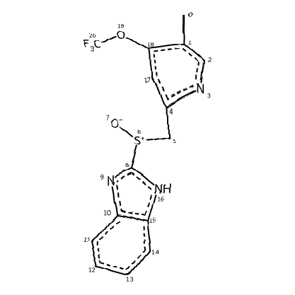 Cc1cnc(C[S+]([O-])c2nc3ccccc3[nH]2)cc1OC(F)(F)F